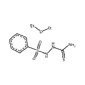 CCOCC.NC(=S)NNS(=O)(=O)c1ccccc1